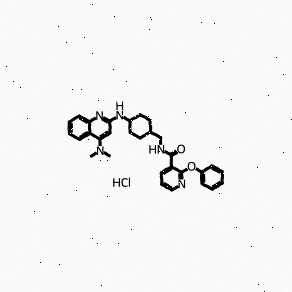 CN(C)c1cc(NC2CCC(CNC(=O)c3cccnc3Oc3ccccc3)CC2)nc2ccccc12.Cl